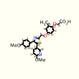 COc1ccc(-c2nc(COc3ccc(OCC(=O)O)c(C)c3)sc2-c2ccc(OC)nc2)cc1